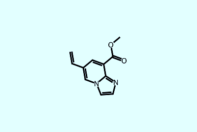 C=Cc1cc(C(=O)OC)c2nccn2c1